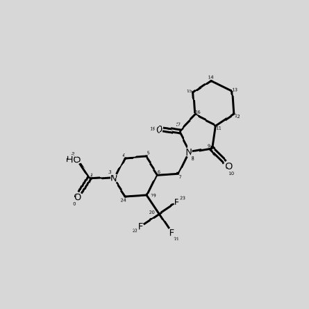 O=C(O)N1CCC(CN2C(=O)C3CCCCC3C2=O)C(C(F)(F)F)C1